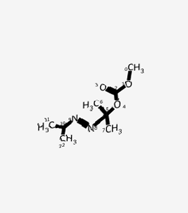 COC(=O)OC(C)(C)/N=N/C(C)C